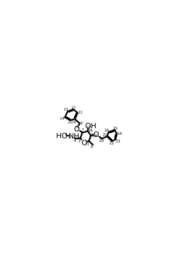 CC1OC(CNO)C(OCc2ccccc2)C(O)C1OCc1ccccc1